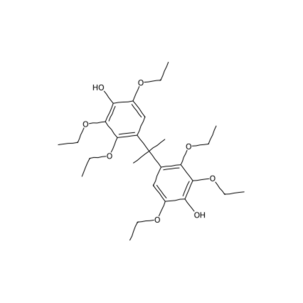 CCOc1cc(C(C)(C)c2cc(OCC)c(O)c(OCC)c2OCC)c(OCC)c(OCC)c1O